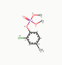 CCOP(=O)(OCC)Oc1ccc(C)cc1Cl